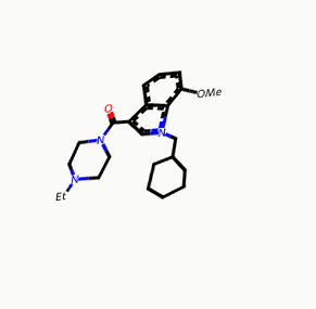 CCN1CCN(C(=O)c2cn(CC3CCCCC3)c3c(OC)cccc23)CC1